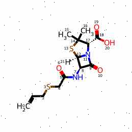 C=CCSCC(=O)N[C@@H]1C(=O)N2[C@@H]1SC(C)(C)[C@@H]2C(=O)O